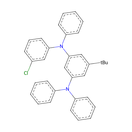 CC(C)(C)c1cc(N(c2ccccc2)c2ccccc2)cc(N(c2ccccc2)c2cccc(Cl)c2)c1